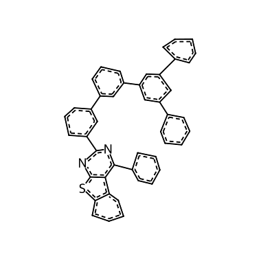 c1ccc(-c2cc(-c3ccccc3)cc(-c3cccc(-c4cccc(-c5nc(-c6ccccc6)c6c(n5)sc5ccccc56)c4)c3)c2)cc1